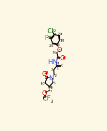 C=C(CCN1C[C@H](COC(F)(F)F)CC1=O)NC(=O)COc1ccc(Cl)c(F)c1